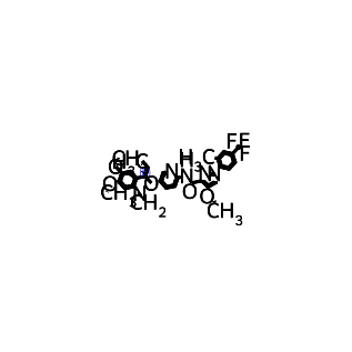 C=Nc1cc(OC)c(OC)cc1/C(=C\C)Oc1ccc(NC(=O)c2nn(-c3ccc(C(F)(F)F)cc3C)cc2OCC)nc1